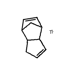 C1=CC2C3C=CC(C3)C2C1.[Tl]